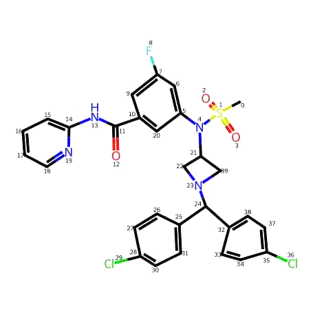 CS(=O)(=O)N(c1cc(F)cc(C(=O)Nc2ccccn2)c1)C1CN(C(c2ccc(Cl)cc2)c2ccc(Cl)cc2)C1